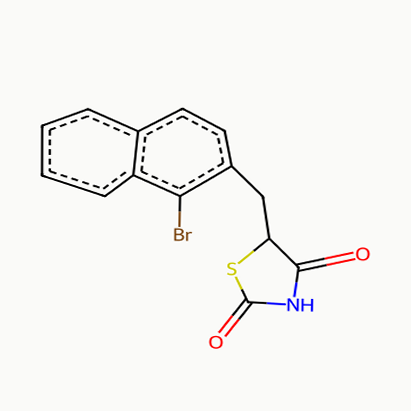 O=C1NC(=O)C(Cc2ccc3ccccc3c2Br)S1